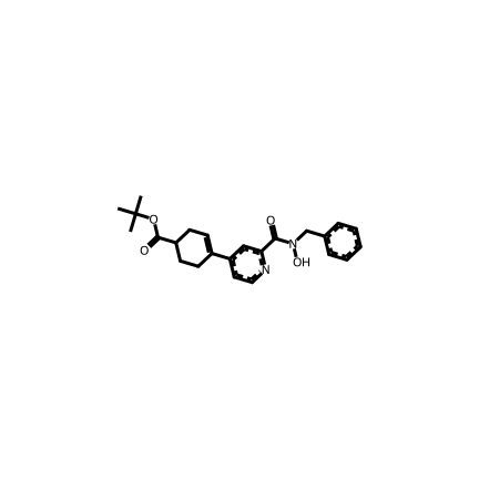 CC(C)(C)OC(=O)C1CC=C(c2ccnc(C(=O)N(O)Cc3ccccc3)c2)CC1